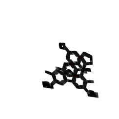 [CH2]=[Zr]([C]1=CC=CC1)([c]1ccc(C)cc1)([c]1ccc(Cl)cc1)[c]1c(C)c(C(C)(C)C)cc2c1Cc1cc(C)c(C(C)(C)C)cc1-2